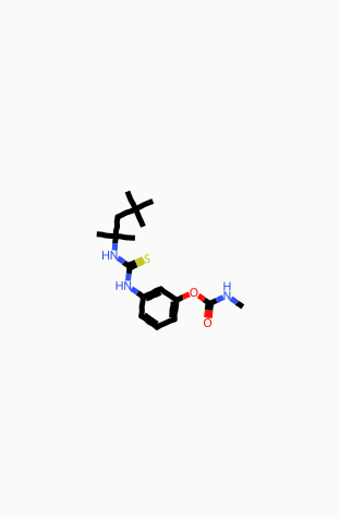 CNC(=O)Oc1cccc(NC(=S)NC(C)(C)CC(C)(C)C)c1